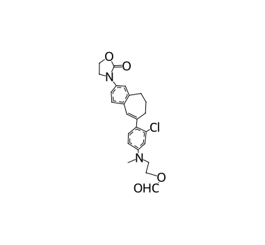 CN(CCOC=O)c1ccc(C2=Cc3ccc(N4CCOC4=O)cc3CCC2)c(Cl)c1